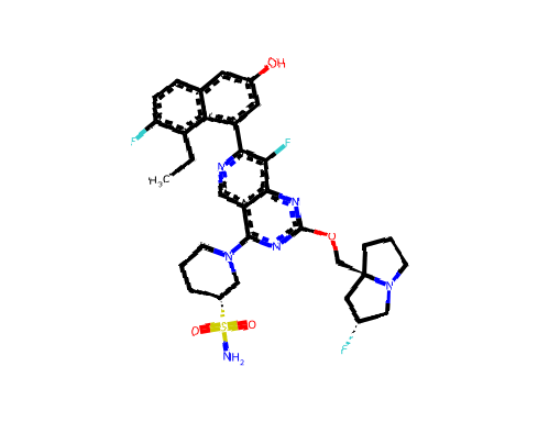 CCc1c(F)ccc2cc(O)cc(-c3ncc4c(N5CCC[C@@H](S(N)(=O)=O)C5)nc(OC[C@@]56CCCN5C[C@H](F)C6)nc4c3F)c12